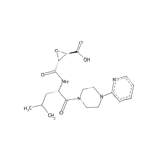 CC(C)C[C@H](NC(=O)[C@@H]1O[C@H]1C(=O)O)C(=O)N1CCN(c2ccccn2)CC1